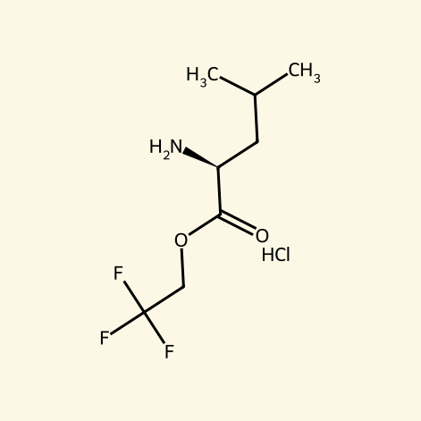 CC(C)C[C@H](N)C(=O)OCC(F)(F)F.Cl